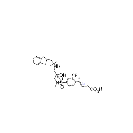 CN(C[C@H](O)CNC(C)(C)CC1Cc2ccccc2C1)S(=O)(=O)c1ccc(/C=C/CC(=O)O)c(C(F)(F)F)c1